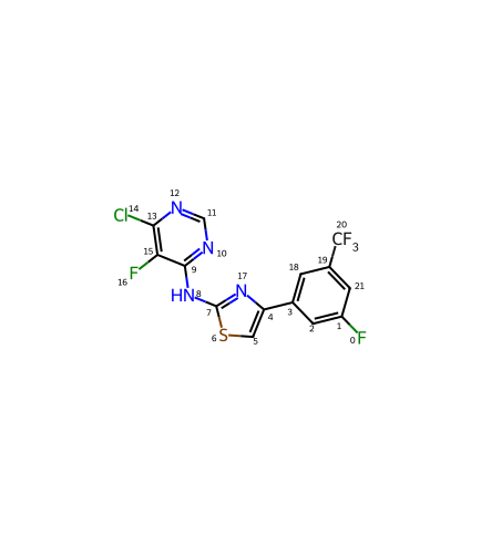 Fc1cc(-c2csc(Nc3ncnc(Cl)c3F)n2)cc(C(F)(F)F)c1